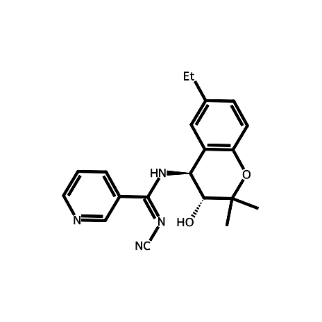 CCc1ccc2c(c1)[C@H](NC(=NC#N)c1cccnc1)[C@@H](O)C(C)(C)O2